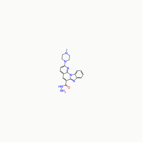 CN1CCN(c2ccc3cc(C(=O)NN)c4nc5ccccc5n4c3n2)CC1